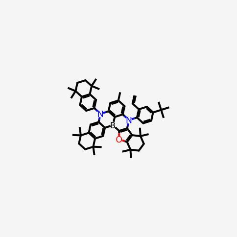 C=Cc1cc(C(C)(C)C)ccc1N1c2cc(C)cc3c2B(c2cc4c(cc2N3c2ccc3c(c2)C(C)(C)CCC3(C)C)C(C)(C)CCC4(C)C)c2oc3c(c21)C(C)(C)CCC3(C)C